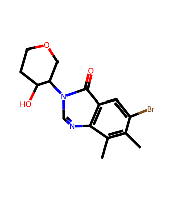 Cc1c(Br)cc2c(=O)n(C3COCCC3O)cnc2c1C